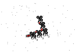 CCCC[B-](c1ccccc1)(c1ccccc1)c1ccccc1.CCCC[B-](c1ccccc1)(c1ccccc1)c1ccccc1.CCCC[B-](c1ccccc1)(c1ccccc1)c1ccccc1.CCCC[B-](c1ccccc1)(c1ccccc1)c1ccccc1.CCCC[B-](c1ccccc1)(c1ccccc1)c1ccccc1.[H+].[H+].[H+].[H+].[NH4+]